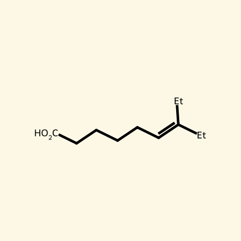 CCC(=CCCCCC(=O)O)CC